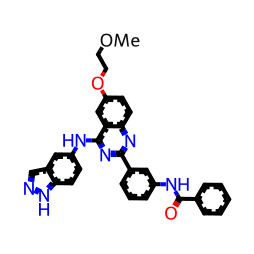 COCCOc1ccc2nc(-c3cccc(NC(=O)c4ccccc4)c3)nc(Nc3ccc4[nH]ncc4c3)c2c1